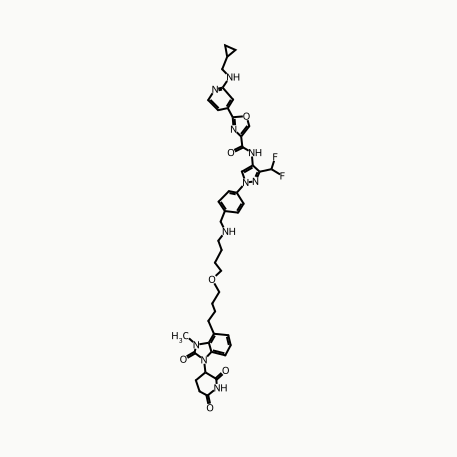 Cn1c(=O)n(C2CCC(=O)NC2=O)c2cccc(CCCCOCCCCNCc3ccc(-n4cc(NC(=O)c5coc(-c6ccnc(NCC7CC7)c6)n5)c(C(F)F)n4)cc3)c21